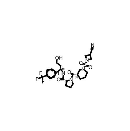 N#CC1CN(S(=O)(=O)N2CCC[C@H](C(=O)N3CCC[C@@H]3C(=O)N[C@H](CCO)c3ccc(C(F)(F)F)cc3)C2)C1